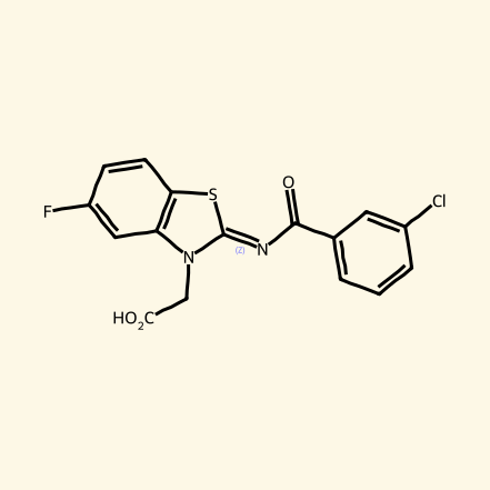 O=C(O)Cn1/c(=N/C(=O)c2cccc(Cl)c2)sc2ccc(F)cc21